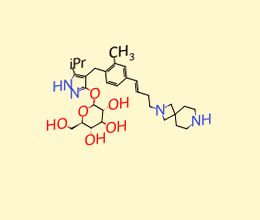 Cc1cc(/C=C/CCN2CC3(CCNCC3)C2)ccc1Cc1c(O[C@@H]2O[C@H](CO)[C@@H](O)[C@H](O)[C@H]2O)n[nH]c1C(C)C